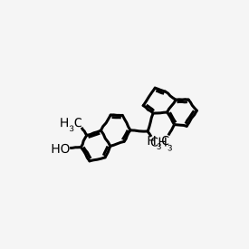 Cc1c(O)ccc2cc(C(C)c3cccc4cccc(C)c34)ccc12